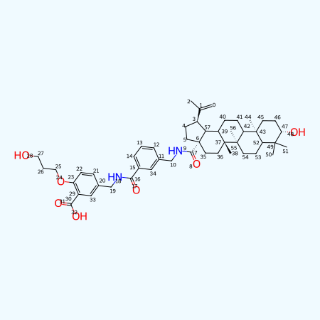 C=C(C)[C@@H]1CC[C@]2(C(=O)NCc3cccc(C(=O)NCc4ccc(OCCCO)c(C(=O)O)c4)c3)CC[C@]3(C)C(CCC4[C@@]5(C)CC[C@H](O)C(C)(C)C5CC[C@]43C)C12